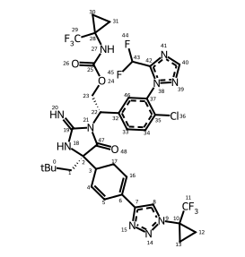 CC(C)(C)C[C@]1(C2C=CC(c3cn(C4(C(F)(F)F)CC4)nn3)=CC2)NC(=N)N([C@H](COC(=O)NC2(C(F)(F)F)CC2)c2ccc(Cl)c(-n3ncnc3C(F)F)c2)C1=O